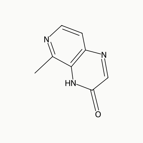 Cc1nccc2ncc(=O)[nH]c12